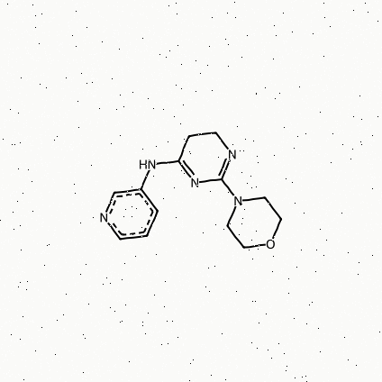 c1cncc(NC2=NC(N3CCOCC3)=NCC2)c1